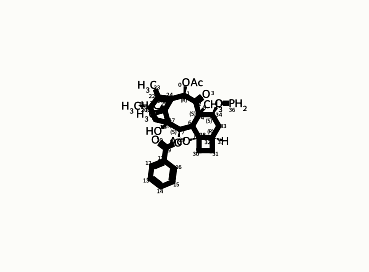 CC(=O)O[C@H]1C(=O)[C@@]2(C)C([C@H](OC(=O)c3ccccc3)[C@]3(O)C[C@H](C)C(C)=C1C3(C)C)[C@]1(OC(C)=O)CC[C@@H]1C[C@@H]2OP